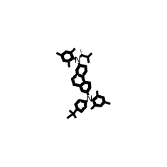 Cc1cc(C)c(N(c2ccc(C(C)(C)C)cc2)c2ccc3c(ccc4cc(N(c5c(C)cc(C)cc5C)[C@H](C)C(C)C)ccc43)c2)c(C)c1